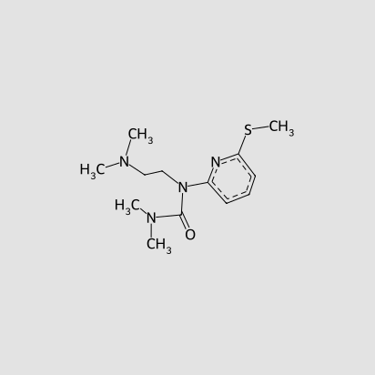 CSc1cccc(N(CCN(C)C)C(=O)N(C)C)n1